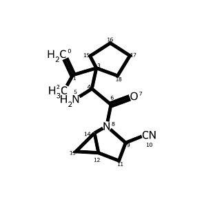 C=C(C)C1(C(N)C(=O)N2C(C#N)CC3CC32)CCCC1